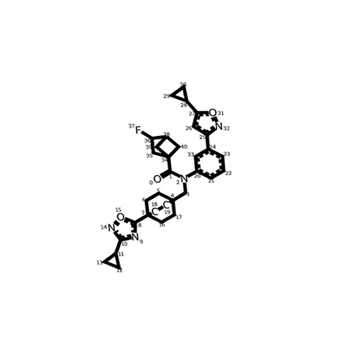 O=C(N(CC12CCC(c3nc(C4CC4)no3)(CC1)CC2)c1cccc(-c2cc(C3CC3)on2)c1)C12CC(F)C(C1)C2